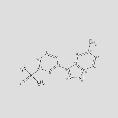 CP(C)(=O)c1cccc(-c2n[nH]c3ccc(N)cc23)c1